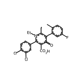 CCn1c(C)c(-c2cc(F)ccc2C)c(=O)c(C(=O)O)c1-c1ccc(Cl)c(Cl)c1